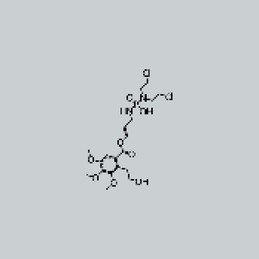 COc1cc(C(=O)OC=CCNP(=O)(O)N(CCCl)CCCl)c(CCO)c(OC)c1OC